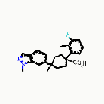 Cc1c(F)cccc1C1(C(=O)O)CCC(C)(c2ccc3cnn(C)c3c2)CC1